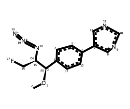 CO[C@H](c1ccc(-c2cncnc2)cc1)[C@@H](CF)N=[N+]=[N-]